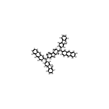 c1ccc2cc3cc(N(c4ccc5c(c4)oc4ccccc45)c4cc5sc6nc(N(c7ccc8cc9ccccc9cc8c7)c7ccc8c(c7)oc7ccccc78)cnc6c5nn4)ccc3cc2c1